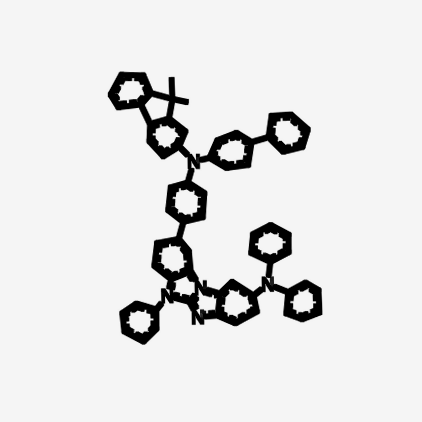 CC1(C)c2ccccc2-c2ccc(N(c3ccc(-c4ccccc4)cc3)c3ccc(-c4ccc5c(c4)n4c6cc(N(c7ccccc7)c7ccccc7)ccc6nc4n5-c4ccccc4)cc3)cc21